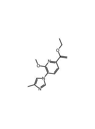 C=C(OCC)c1ccc(-n2cnc(C)c2)c(OC)n1